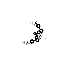 Cc1ccc(-c2cccc3c2C=C2[CH]3[Hf]([CH3])([CH3])[CH]3C(=Cc4c(-c5ccc(C)cc5)cccc43)C23CCC3)cc1